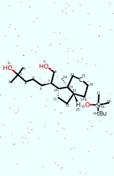 CC(C)(O)CCC[C@@H](CO)[C@H]1CC[C@H]2[C@@H](O[Si](C)(C)C(C)(C)C)CCC[C@]12C